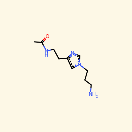 CC(=O)NCCc1cn(CCCN)cn1